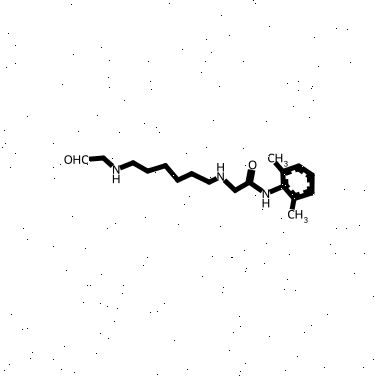 Cc1cccc(C)c1NC(=O)CNCCCCCCNCC=O